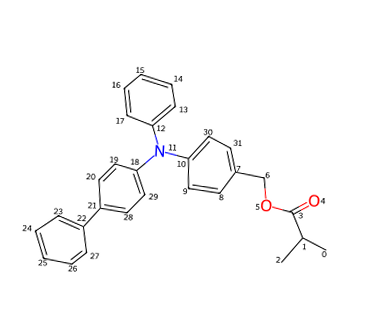 CC(C)C(=O)OCc1ccc(N(c2ccccc2)c2ccc(-c3ccccc3)cc2)cc1